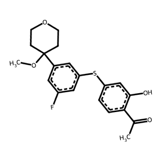 COC1(c2cc(F)cc(Sc3ccc(C(C)=O)c(O)c3)c2)CCOCC1